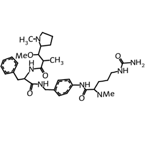 CNC(CCCNC(N)=O)C(=O)Nc1ccc(CNC(=O)C(Cc2ccccc2)NC(=O)C(C)C(OC)C2CCCN2C)cc1